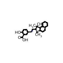 C[N+]1=C(/C=C/c2ccc(O)c(C(=O)O)c2)C(C)(C)c2c1ccc1ccccc21